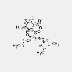 CCCOC(=O)/C(=C/NN(CCC)CCC)C(=O)c1c(F)c(C)c(F)c(F)c1[N+](=O)[O-]